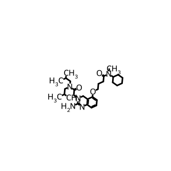 CC(C)CN(CC(C)C)C(=O)CN1Cc2c(cccc2OCCCC(=O)N(C)C2CCCCC2)N=C1N